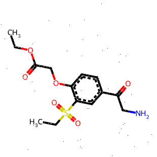 CCOC(=O)COc1ccc(C(=O)CN)cc1S(=O)(=O)CC